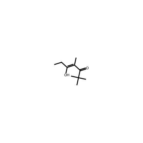 CC/C(O)=C(\C)C(=O)C(C)(C)C